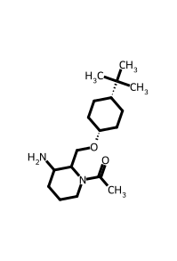 CC(=O)N1CCCC(N)C1CO[C@H]1CC[C@@H](C(C)(C)C)CC1